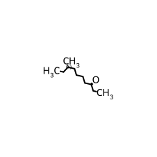 CCC(=O)CCCC[C@@H](C)CC